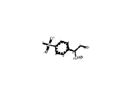 CS(=O)(=O)c1ccc(C(C=O)CBr)cc1